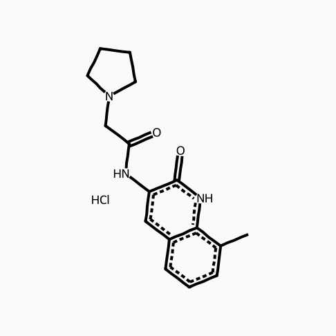 Cc1cccc2cc(NC(=O)CN3CCCC3)c(=O)[nH]c12.Cl